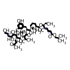 C=C/C=C/[C@H](O)[C@H](C)[C@@H](O)[C@@H](CCC(C)=O)C(=O)N[C@H](C(=O)N[C@@H](Cc1cc(O)cc(F)c1)C(=O)N1CCCC(C(=O)O[C@@H](CC)/C(C)=C/C=C/C(=O)OCC(C)C)N1)C(C)C